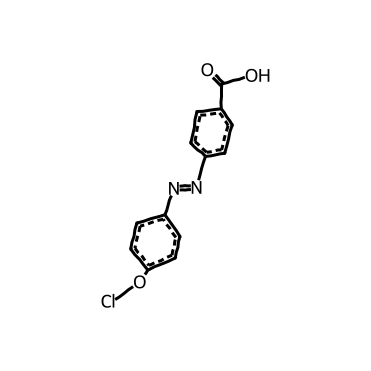 O=C(O)c1ccc(/N=N/c2ccc(OCl)cc2)cc1